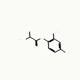 COc1cc(C=O)ccc1OC(=O)C(C)OC